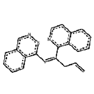 C=CCC(=[C]c1nncc2ccccc12)c1nccc2ccccc12